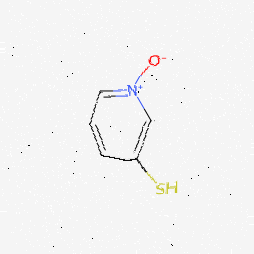 [O-][n+]1[c]c(S)ccc1